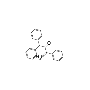 O=C(C(=[PH3])c1ccccc1)C(c1ccccc1)c1ccccc1